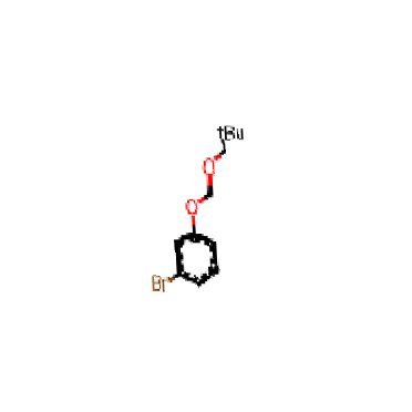 CC(C)(C)COCOc1cccc(Br)c1